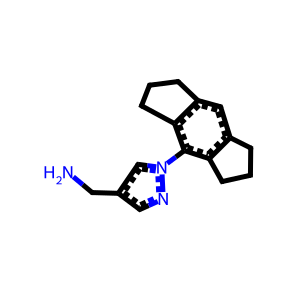 NCc1cnn(-c2c3c(cc4c2CCC4)CCC3)c1